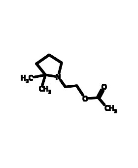 CC(=O)OCCN1CCCC1(C)C